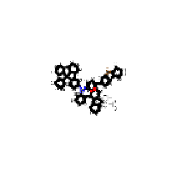 CC1(C)c2ccccc2-c2c(-c3ccccc3N(c3ccc(-c4ccc5c(c4)sc4ccccc45)cc3)c3ccc4c(c3)-c3ccccc3C4(c3ccccc3)c3ccccc3)cccc21